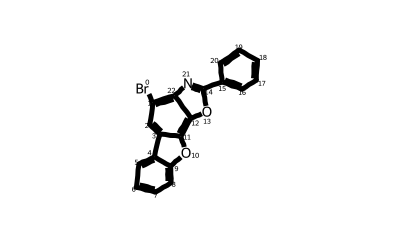 Brc1cc2c3ccccc3oc2c2oc(-c3ccccc3)nc12